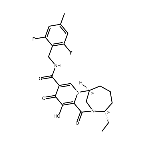 CC[C@H]1CCC[C@H]2CN1C(=O)c1c(O)c(=O)c(C(=O)NCc3c(F)cc(C)cc3F)cn12